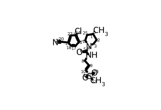 C[C@@H]1CCN(C(=O)NC/C=C/S(C)(=O)=O)[C@H](c2ccc(C#N)cc2Cl)C1